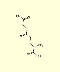 N[C@@H](CSC(=O)CCC(=O)O)C(=O)O